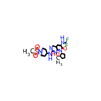 C[C@@]1(O)CCC[C@H]1n1c(=O)c(NC(F)F)cc2cnc(NC3CCN(S(C)(=O)=O)CC3)nc21